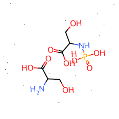 NC(CO)C(=O)O.O=C(O)C(CO)NP(=O)(O)O